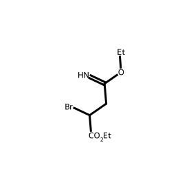 CCOC(=N)CC(Br)C(=O)OCC